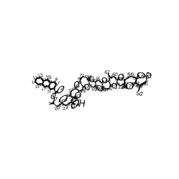 C=C(COC(=O)c1ccc2cc3ccccc3cc2c1)CC1CC(O)C2(C)OC3CC4OC5CC6(C)OC7(C)CCC8OC9CC%10(C)OC%11C(C)=CC(=O)OC%11CC%10OC9CC(C)C8OC7CC6OC5(C)C/C=C\C4OC3CC2O1